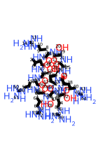 CC(C)[C@H](NC(=O)[C@H](CCCNC(=N)N)NC(=O)[C@H](CO)NC(=O)[C@H](C)NC(=O)[C@@H]1CCCN1C(=O)[C@@H](N)CCCNC(=N)N)C(=O)N[C@@H](CO)C(=O)N[C@@H](CCCNC(=N)N)C(=O)N[C@@H](CCCNC(=N)N)C(=O)N[C@@H](CO)C(=O)N[C@@H](CCCNC(=N)N)C(=O)O